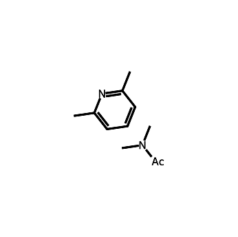 CC(=O)N(C)C.Cc1cccc(C)n1